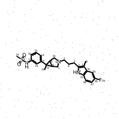 Cc1c(CCCN2CC3C(C2)C3(C)c2cccc(NS(C)(=O)=O)c2)[nH]c2ccc(F)cc12